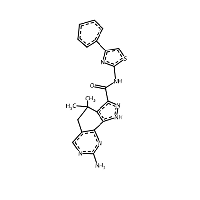 CC1(C)Cc2cnc(N)nc2-c2[nH]nc(C(=O)Nc3nc(-c4ccccc4)cs3)c21